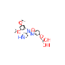 CC(C)Oc1cc(CN(c2nc3cc(OCC(O)CO)ccc3o2)C2CCNCC2)cc(OC(C)C)c1